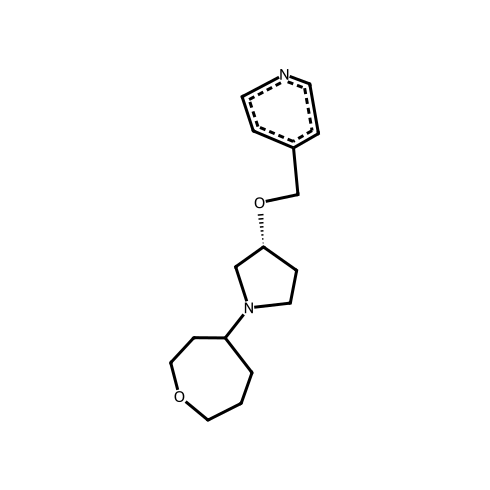 c1cc(CO[C@@H]2CCN(C3CCCOCC3)C2)ccn1